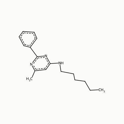 CCCCCCNc1cc(C)nc(-c2ccccc2)n1